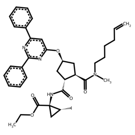 C=CCCCCN(C)C(=O)[C@@H]1C[C@H](Oc2cc(-c3ccccc3)nc(-c3ccccc3)n2)C[C@H]1C(=O)N[C@]1(C(=O)OCC)C[C@H]1I